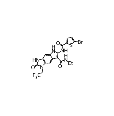 CCNC(=O)c1c(NC(=O)c2ccc(Br)s2)[nH]c2cc3[nH]c(=O)n(CC(F)(F)F)c3cc12